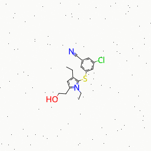 CCc1cc(CCO)n(CC)c1Sc1cc(Cl)cc(C#N)c1